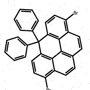 Brc1ccc2c3c1ccc1ccc4c(Br)ccc(c4c13)C2(c1ccccc1)c1ccccc1